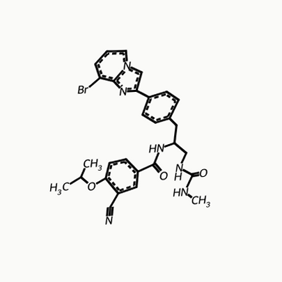 CNC(=O)NCC(Cc1ccc(-c2cn3cccc(Br)c3n2)cc1)NC(=O)c1ccc(OC(C)C)c(C#N)c1